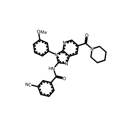 COc1cccc(-n2c(NC(=O)c3cccc(C#N)c3)nc3cc(C(=O)N4CCCCC4)cnc32)c1